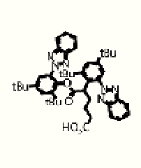 CC(C)(C)c1cc(-n2nc3ccccc3n2)c(OC(=O)C(CCCC(=O)O)c2c(-n3nc4ccccc4n3)cc(C(C)(C)C)cc2C(C)(C)C)c(C(C)(C)C)c1